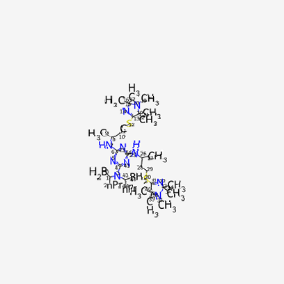 BC(CCC)N(c1nc(NC(C)CCSC2=NC(C)(C)N(C)C2(C)C)nc(NC(C)CCSC2=NC(C)(C)N(C)C2(C)C)n1)C(B)CCC